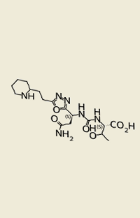 CC(O)[C@H](NC(=O)N[C@@H](CC(N)=O)c1nnc(CCC2CCCCN2)o1)C(=O)O